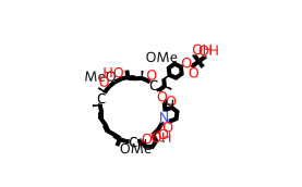 COC1C(=O)[C@H](C)C[C@H](C)/C=C/C=C/C=C(\C)[C@@H](OC)C[C@@H]2CC[C@@H](C)[C@@](O)(O2)C(=O)C(=O)N2CCCC[C@H]2C(=O)O[C@H]([C@H](C)C[C@@H]2CC[C@@H](OC(=O)C(C)(CO)CO)[C@H](OC)C2)CC(=O)[C@H](C)/C=C(\C)[C@H]1O